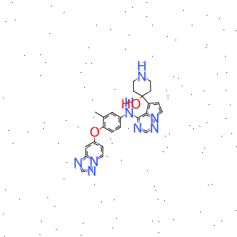 Cc1cc(Nc2ncnn3ccc(C4(O)CCNCC4)c23)ccc1Oc1ccn2ncnc2c1